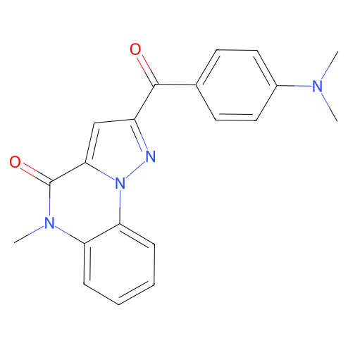 CN(C)c1ccc(C(=O)c2cc3c(=O)n(C)c4ccccc4n3n2)cc1